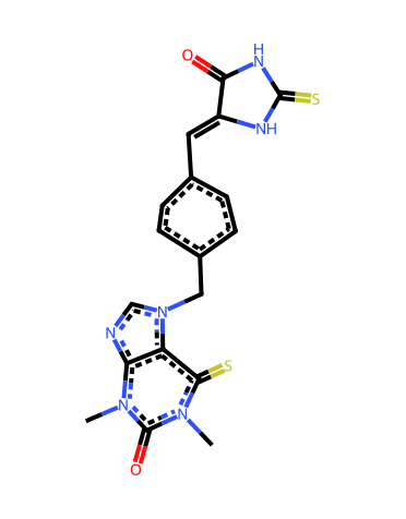 Cn1c(=S)c2c(ncn2Cc2ccc(/C=C3\NC(=S)NC3=O)cc2)n(C)c1=O